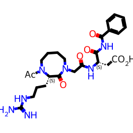 CC(=O)N1CCCCN(CC(=O)N[C@@H](CC(=O)O)C(=O)NC(=O)c2ccccc2)C(=O)[C@@H]1CCCNC(=N)N